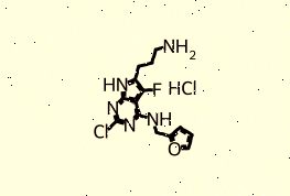 Cl.NCCCc1[nH]c2nc(Cl)nc(NCc3ccco3)c2c1F